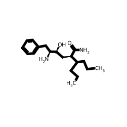 CCCC(CCC)[C@@H](C[C@H](O)[C@@H](N)Cc1ccccc1)C(N)=O